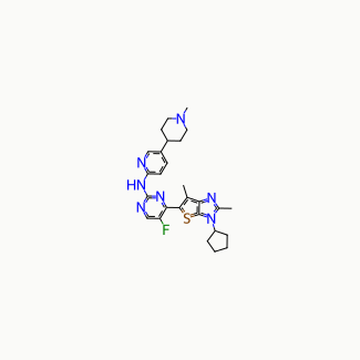 Cc1c(-c2nc(Nc3ccc(C4CCN(C)CC4)cn3)ncc2F)sc2c1nc(C)n2C1CCCC1